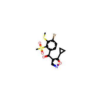 CSc1c(Br)ccc(C(=O)c2cnoc2C2CC2)c1S(C)(=O)=O